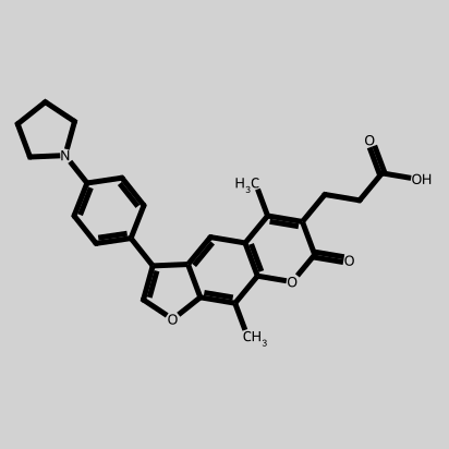 Cc1c(CCC(=O)O)c(=O)oc2c(C)c3occ(-c4ccc(N5CCCC5)cc4)c3cc12